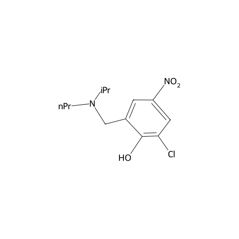 CCCN(Cc1cc([N+](=O)[O-])cc(Cl)c1O)C(C)C